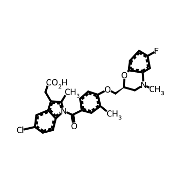 Cc1cc(C(=O)n2c(C)c(CC(=O)O)c3cc(Cl)ccc32)ccc1OC[C@@H]1CN(C)c2cc(F)ccc2O1